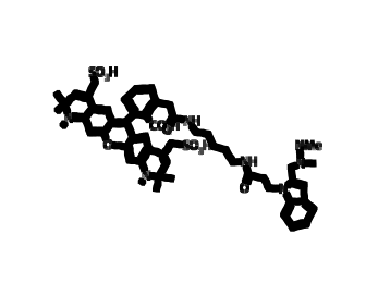 CNN(C)Cc1cc2ccccc2n1CCC(=O)NCCCCCNC(=O)Cc1cccc(C2=c3cc4c(cc3Oc3cc5c(cc32)C(CS(=O)(=O)O)=CC(C)(C)N5C)=[N+](C)C(C)(C)C=C4CS(=O)(=O)O)c1C(=O)O